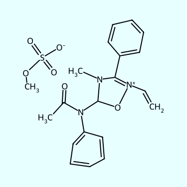 C=C[N+]1=C(c2ccccc2)N(C)C(N(C(C)=O)c2ccccc2)O1.COS(=O)(=O)[O-]